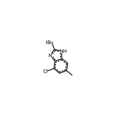 Cc1cc(Cl)c2nc(C(C)(C)C)[nH]c2c1